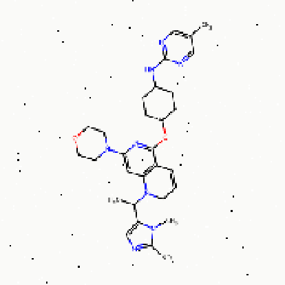 CC(c1cnc([N+](=O)[O-])n1C)N1CC=Cc2c1cc(N1CCOCC1)nc2OC1CCC(Nc2ncc(C(F)(F)F)cn2)CC1